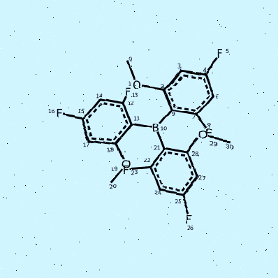 COc1cc(F)cc(F)c1B(c1c(F)cc(F)cc1OC)c1c(F)cc(F)cc1OC